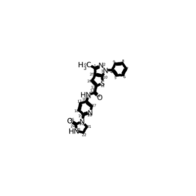 Cc1nn(-c2ccccc2)c2sc(C(=O)Nc3ccc(N4CCNC4=O)nc3)cc12